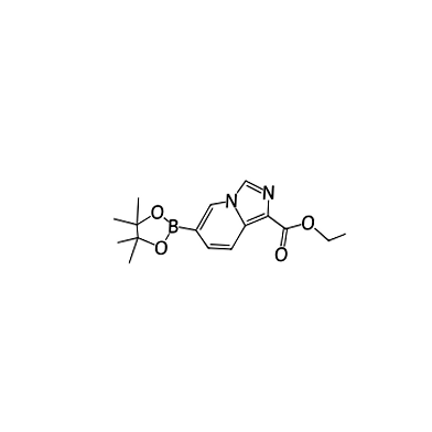 CCOC(=O)c1ncn2cc(B3OC(C)(C)C(C)(C)O3)ccc12